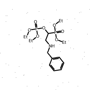 CCOP(=O)(OCC)OC(CNCc1ccccc1)P(=O)(OCC)OCC